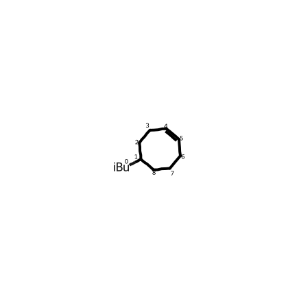 [CH2]C(CC)C1CCC=CCCC1